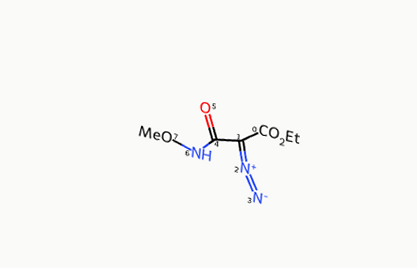 CCOC(=O)C(=[N+]=[N-])C(=O)NOC